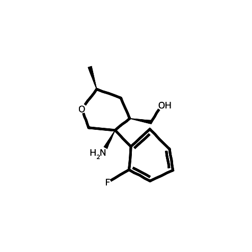 C[C@H]1C[C@@H](CO)[C@](N)(c2ccccc2F)CO1